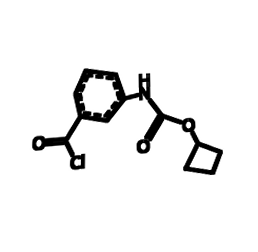 O=C(Nc1cccc(C(=O)Cl)c1)OC1CCC1